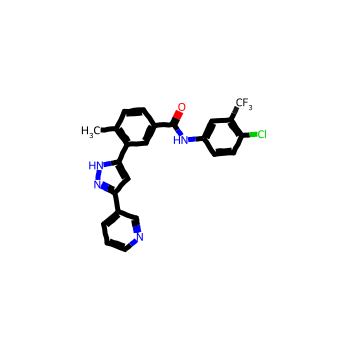 Cc1ccc(C(=O)Nc2ccc(Cl)c(C(F)(F)F)c2)cc1-c1cc(-c2cccnc2)n[nH]1